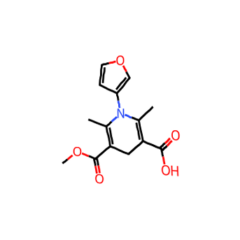 COC(=O)C1=C(C)N(c2ccoc2)C(C)=C(C(=O)O)C1